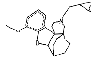 COc1cccc2c1OC1C3CCC4(CC3)CN(CC3CC3)CCC214